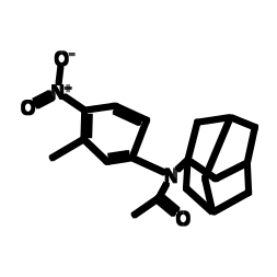 CC(=O)N(c1ccc([N+](=O)[O-])c(C)c1)C12CC3CC(CC(C3)C1)C2